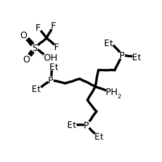 CCP(CC)CCC(P)(CCP(CC)CC)CCP(CC)CC.O=S(=O)(O)C(F)(F)F